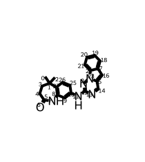 CC1(C)CCC(=O)Nc2cc(Nc3ncc4cc5ccccc5n4n3)ccc21